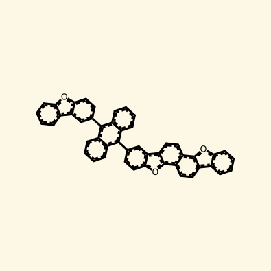 c1ccc2c(c1)oc1ccc(-c3c4ccccc4c(-c4ccc5oc6c(ccc7c6ccc6c8ccccc8oc67)c5c4)c4ccccc34)cc12